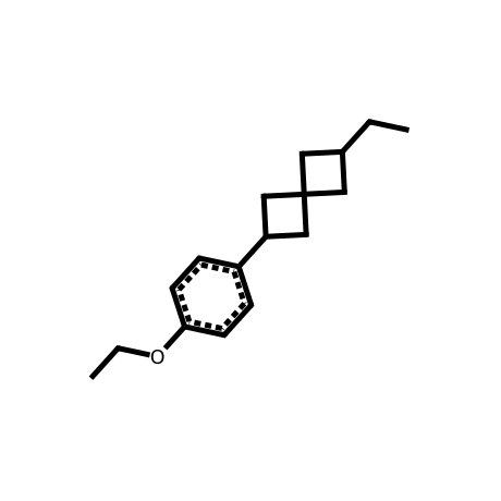 CCOc1ccc(C2CC3(CC(CC)C3)C2)cc1